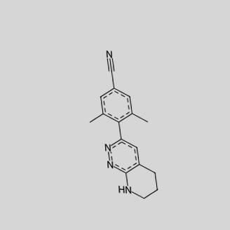 Cc1cc(C#N)cc(C)c1-c1cc2c(nn1)NCCC2